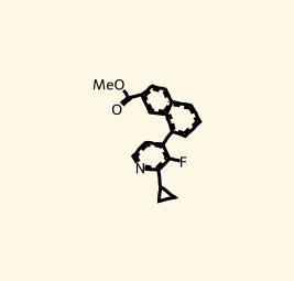 COC(=O)c1ccc2cccc(-c3ccnc(C4CC4)c3F)c2c1